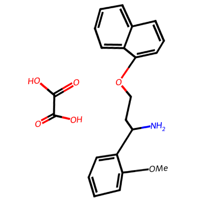 COc1ccccc1C(N)CCOc1cccc2ccccc12.O=C(O)C(=O)O